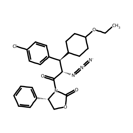 CCOC1CCC([C@H](c2ccc(Cl)cc2)[C@H](N=[N+]=[N-])C(=O)N2C(=O)OC[C@@H]2c2ccccc2)CC1